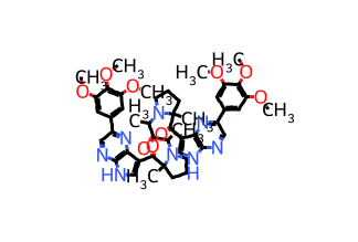 COc1cc(-c2cnc3[nH]cc(C(=O)C4(C)CCCN4C(C)C(=O)C(C)N4CCCC4(C)C(=O)c4c[nH]c5ncc(-c6cc(OC)c(OC)c(OC)c6)nc45)c3n2)cc(OC)c1OC